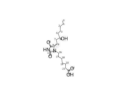 CCCCCC(O)C/C=C1\C(=O)NC(=O)N1CCCCCCC(=O)O